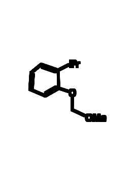 COCOc1ccccc1C(C)C